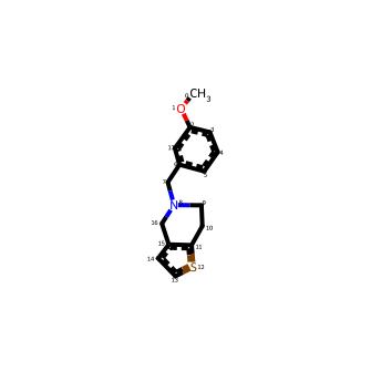 COc1cccc(CN2CCc3sccc3C2)c1